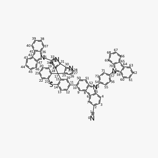 N#Cc1ccc2c(c1)c1cc(-c3ccc4c(c3)C3(c5ccccc5S4)c4cccnc4-c4ncc(-n5c6ccccc6c6ccccc65)cc43)ccc1n2-c1ccc(-n2c3ccccc3c3ccccc32)cc1